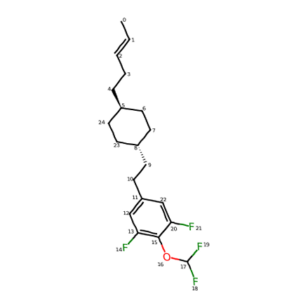 C/C=C/CC[C@H]1CC[C@H](CCc2cc(F)c(OC(F)F)c(F)c2)CC1